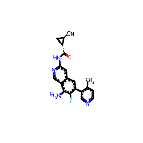 Cc1ccncc1-c1cc2cc(NC(=O)[C@@H]3C[C@H]3C#N)ncc2c(N)c1F